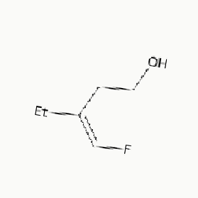 CCC(=CF)CCO